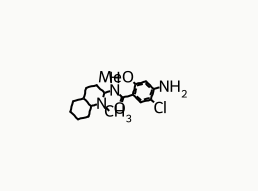 COc1cc(N)c(Cl)cc1C(=O)NC1CCC2CCCCC2N1C